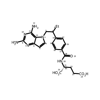 CCC(Cn1ccc2nc(N)nc(N)c21)c1ccc(C(=O)N[C@H](CCC(=O)O)C(=O)O)cc1